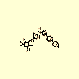 COc1cc(OC)c(F)c(COc2cnc(Nc3cnn(C4CCN(C5CCN(C)CC5)CC4)c3)nc2)c1F